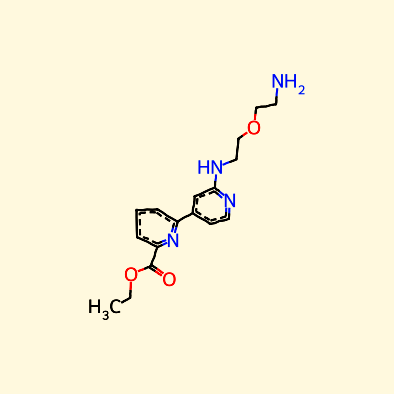 CCOC(=O)c1cccc(-c2ccnc(NCCOCCN)c2)n1